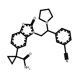 N#Cc1cccc(C(Cn2c(=O)oc3ccc(C4(C(N)=O)CC4)cc32)N2CCCC2)c1